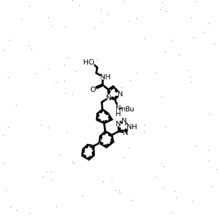 CCCCNc1ncc(C(=O)NCCO)n1Cc1ccc(-c2cc(-c3ccccc3)ccc2-c2nn[nH]n2)cc1